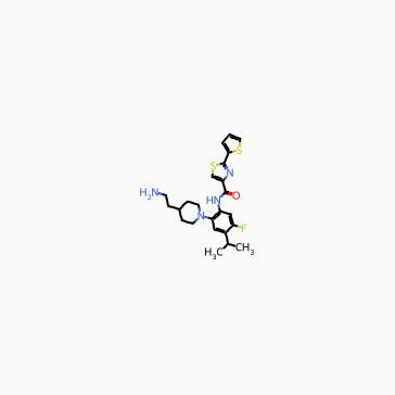 CC(C)c1cc(N2CCC(CCN)CC2)c(NC(=O)c2csc(-c3cccs3)n2)cc1F